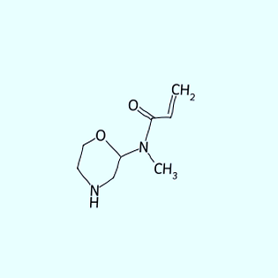 C=CC(=O)N(C)C1CNCCO1